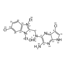 CCn1c(CN(C=O)c2nc3c(Cl)c[nH]c3nc2N)[n+](CC)c2ccc(Cl)cc21